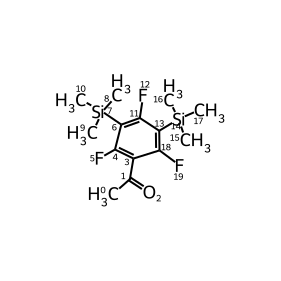 CC(=O)c1c(F)c([Si](C)(C)C)c(F)c([Si](C)(C)C)c1F